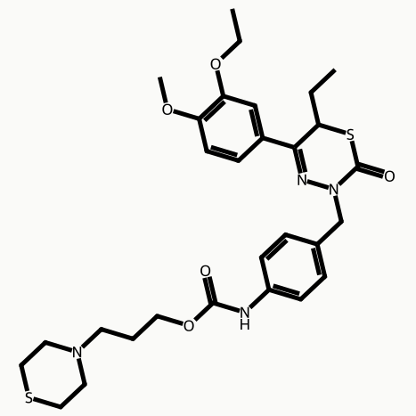 CCOc1cc(C2=NN(Cc3ccc(NC(=O)OCCCN4CCSCC4)cc3)C(=O)SC2CC)ccc1OC